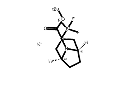 CC(C)(C)OC(=O)N1C[C@H]2CC[C@@H](C1)N2C[B-](F)(F)F.[K+]